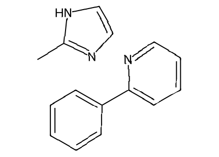 Cc1ncc[nH]1.c1ccc(-c2ccccn2)cc1